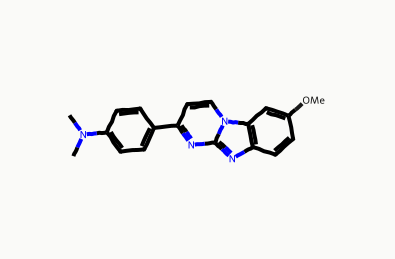 COc1ccc2nc3nc(-c4ccc(N(C)C)cc4)ccn3c2c1